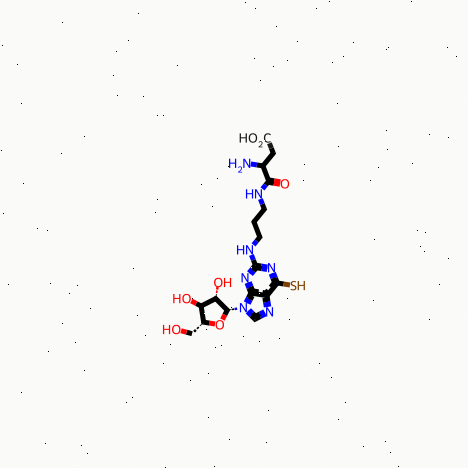 NC(CC(=O)O)C(=O)NCCCNc1nc(S)c2ncn([C@@H]3O[C@H](CO)C(O)[C@@H]3O)c2n1